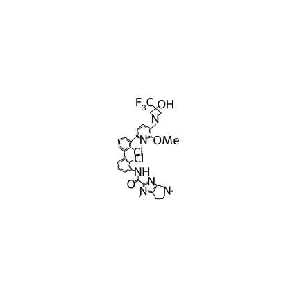 COc1nc(-c2cccc(-c3cccc(NC(=O)c4nc5c(n4C)CCN(C)C5)c3Cl)c2Cl)ccc1CN1CC(O)(C(F)(F)F)C1